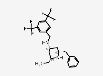 CC[C@@H]1C[C@H](NCc2cc(C(F)(F)F)cc(C(F)(F)F)c2)C[C@H](Cc2ccccc2)N1